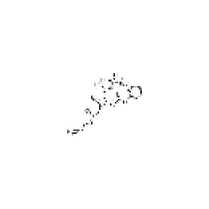 C=CCOC(=O)CN1C(=O)[C@H]([C@@H](C)O[Si](C)(C)C(C)(C)C)[C@H]1SC(=S)Oc1ccccc1